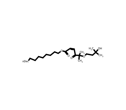 CCCCCCCCCCCCCCCCCCOC(=O)/C=C\C(=O)C(C)(C)OCCC(C)(C)O